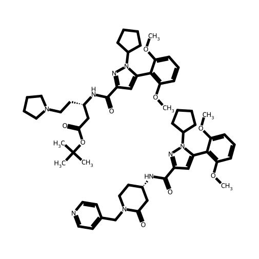 COc1cccc(OC)c1-c1cc(C(=O)N[C@@H](CCN2CCCC2)CC(=O)OC(C)(C)C)nn1C1CCCC1.COc1cccc(OC)c1-c1cc(C(=O)N[C@H]2CCN(Cc3ccncc3)C(=O)C2)nn1C1CCCC1